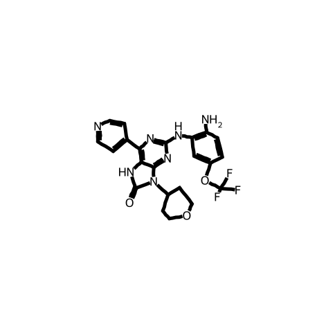 Nc1ccc(OC(F)(F)F)cc1Nc1nc(-c2ccncc2)c2[nH]c(=O)n(C3CCOCC3)c2n1